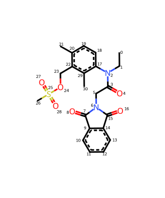 CCN(C(=O)CN1C(=O)c2ccccc2C1=O)c1ccc(C)c(COS(C)(=O)=O)c1C